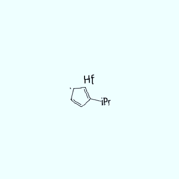 CC(C)C1=C[CH]C=C1.[Hf]